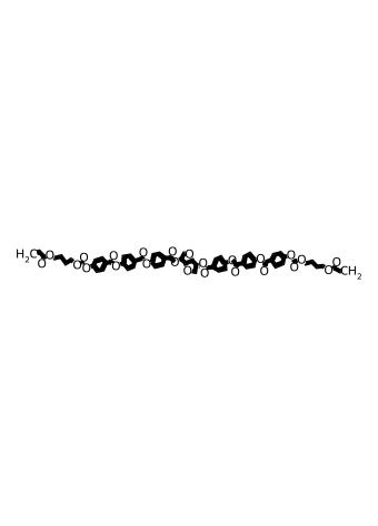 C=CC(=O)OCCCCOC(=O)Oc1ccc(C(=O)Oc2ccc(C(=O)Oc3ccc(C(=O)OC4COC5C4OC[C@H]5OC(=O)c4ccc(OC(=O)c5ccc(OC(=O)c6ccc(OC(=O)OCCCCOC(=O)C=C)cc6)cc5)cc4)cc3)cc2)cc1